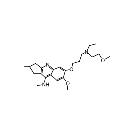 CCN(CCCOc1cc2nc3c(c(NC)c2cc1OC)CC(C)C3)CCOC